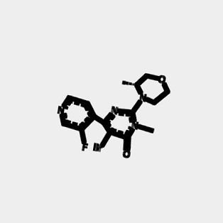 C[C@@H]1COCCN1c1nc(-c2ccncc2F)c(Br)c(=O)n1C